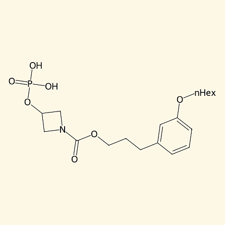 CCCCCCOc1cccc(CCCOC(=O)N2CC(OP(=O)(O)O)C2)c1